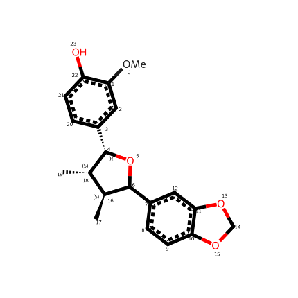 COc1cc([C@@H]2OC(c3ccc4c(c3)OCO4)[C@@H](C)[C@@H]2C)ccc1O